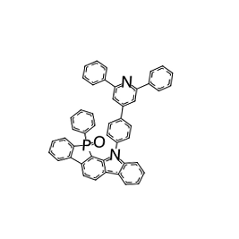 O=P1(c2ccccc2)c2ccccc2-c2ccc3c4ccccc4n(-c4ccc(-c5cc(-c6ccccc6)nc(-c6ccccc6)c5)cc4)c3c21